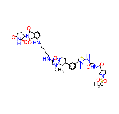 CN(CC(=O)NCCCCCNc1cccc2c1C(=O)N(C1CCC(=O)NC1=O)C2=O)C1CC(c2cccc(C3CSC(NC(=O)CNC(=O)C4CCN(S(C)(=O)=O)C4)N3)c2)CCN1